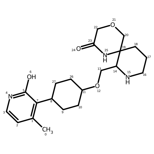 Cc1ccnc(O)c1C1CCC(OCC2NCCCC23COCC(=O)N3)CC1